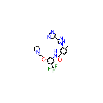 Cc1ccc(C(=O)Nc2cc(OCCN3CCCC3)cc(C(F)(F)F)c2)cc1-n1cc(-c2cncnc2)nn1